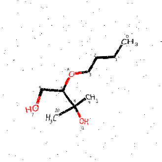 CCCCOC(CO)C(C)(C)O